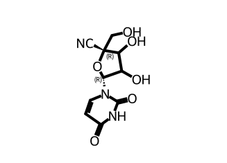 N#C[C@]1(CO)O[C@@H](n2ccc(=O)[nH]c2=O)C(O)C1O